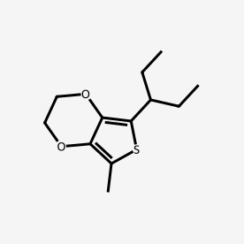 CCC(CC)c1sc(C)c2c1OCCO2